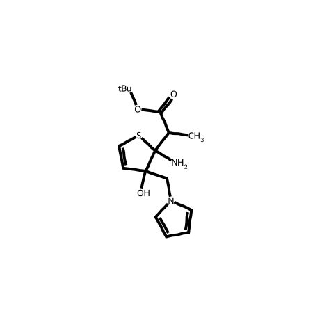 CC(C(=O)OC(C)(C)C)C1(N)SC=CC1(O)Cn1cccc1